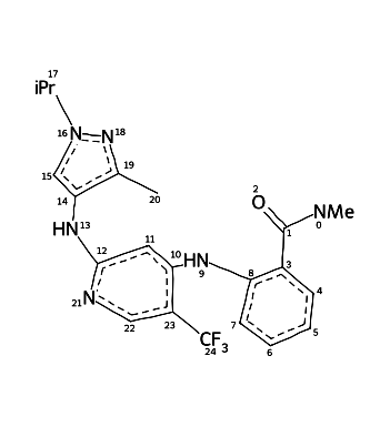 CNC(=O)c1ccccc1Nc1cc(Nc2cn(C(C)C)nc2C)ncc1C(F)(F)F